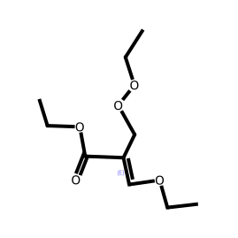 CCO/C=C(\COOCC)C(=O)OCC